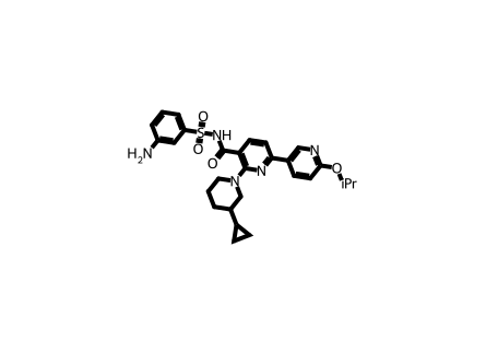 CC(C)Oc1ccc(-c2ccc(C(=O)NS(=O)(=O)c3cccc(N)c3)c(N3CCCC(C4CC4)C3)n2)cn1